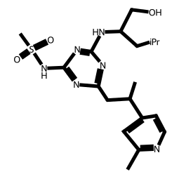 Cc1cc(C(C)Cc2nc(NC(CO)CC(C)C)nc(NS(C)(=O)=O)n2)ccn1